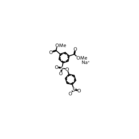 COC(=O)c1cc(C(=O)OC)cc(S(=O)(=O)Oc2ccc([S-](=O)=O)cc2)c1.[Na+]